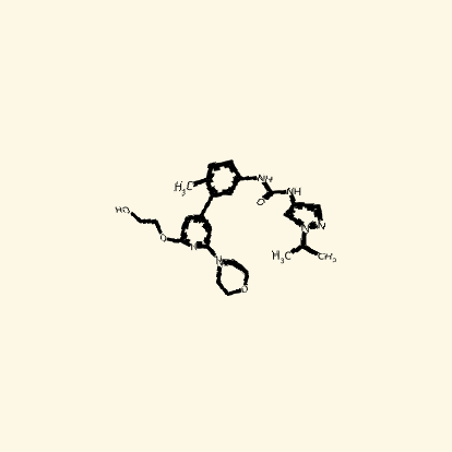 Cc1ccc(NC(=O)Nc2cnn(C(C)C)c2)cc1-c1cc(OCCO)nc(N2CCOCC2)c1